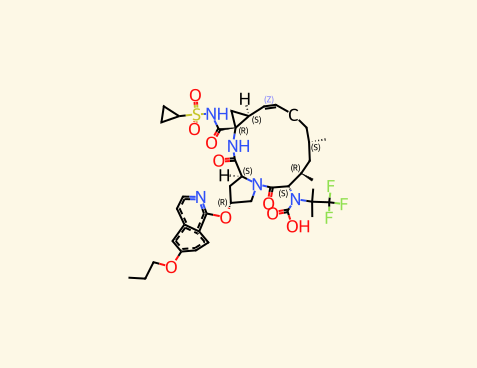 CCCOc1ccc2c(O[C@@H]3C[C@H]4C(=O)N[C@]5(C(=O)NS(=O)(=O)C6CC6)C[C@H]5/C=C\CC[C@H](C)C[C@@H](C)[C@H](N(C(=O)O)C(C)(C)C(F)(F)F)C(=O)N4C3)nccc2c1